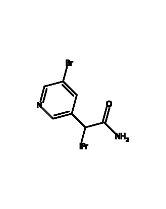 CC(C)C(C(N)=O)c1cncc(Br)c1